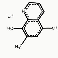 Cc1cc(C)c2cccnc2c1O.[LiH]